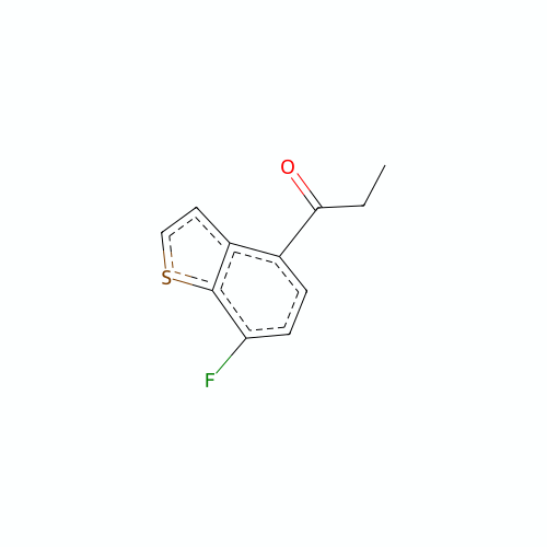 CCC(=O)c1ccc(F)c2sccc12